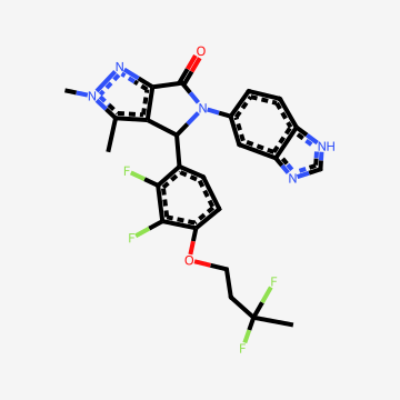 Cc1c2c(nn1C)C(=O)N(c1ccc3[nH]cnc3c1)C2c1ccc(OCCC(C)(F)F)c(F)c1F